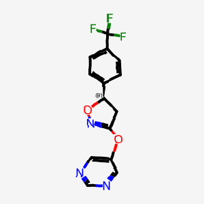 FC(F)(F)c1ccc([C@H]2CC(Oc3cncnc3)=NO2)cc1